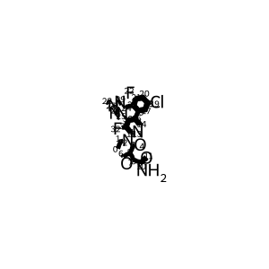 CCN(C(=O)C1COC1C(N)=O)c1ncc(-c2cc(Cl)cc(F)c2-c2nnn(C)n2)cc1F